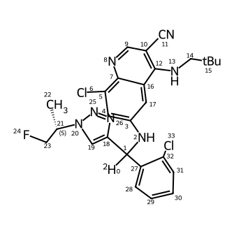 [2H]C(Nc1cc(Cl)c2ncc(C#N)c(NCC(C)(C)C)c2c1)(c1cn([C@@H](C)CF)nn1)c1ccccc1Cl